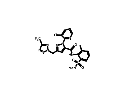 CNS(=O)(=O)c1cccc(C)c1NC(=O)c1cc(Cn2nnc(C(F)(F)F)n2)nn1-c1ncccc1Cl